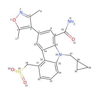 Cc1noc(C)c1-c1cc(C(N)=O)c2c(c1)c1c(C[SH](=O)=O)cccc1n2CC1CC1